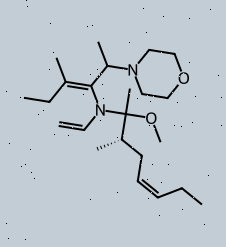 C=CN(/C(=C(/C)CC)C(C)N1CCOCC1)C(C)(OC)[C@@H](C)C/C=C\CC